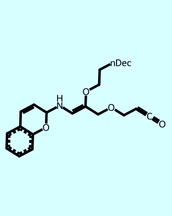 CCCCCCCCCCCCOC(=CNC1C=Cc2ccccc2O1)COCC=C=O